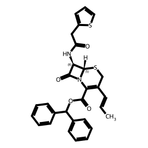 CC=CC1=C(C(=O)OC(c2ccccc2)c2ccccc2)N2C(=O)[C@@H](NC(=O)Cc3cccs3)[C@@H]2SC1